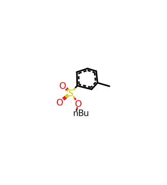 [CH2]CCCOS(=O)(=O)c1cccc(C)c1